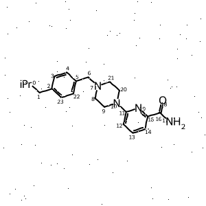 CC(C)Cc1ccc(CN2CCN(c3cc[c]c(C(N)=O)n3)CC2)cc1